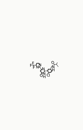 CC(C)C(=O)NCc1ccc(Cl)c(-c2nc(-c3nccc(C(F)(F)F)n3)cc(=O)[nH]2)c1